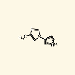 CC1=CN(c2cc[nH]n2)CS1